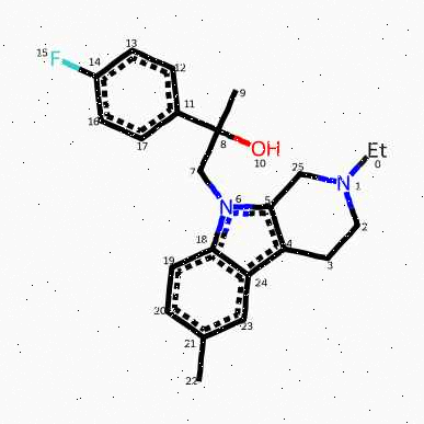 CCN1CCc2c(n(CC(C)(O)c3ccc(F)cc3)c3ccc(C)cc23)C1